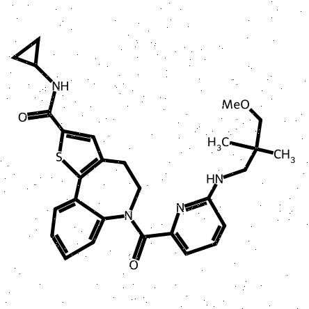 COCC(C)(C)CNc1cccc(C(=O)N2CCc3cc(C(=O)NC4CC4)sc3-c3ccccc32)n1